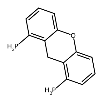 Pc1cccc2c1Cc1c(P)cccc1O2